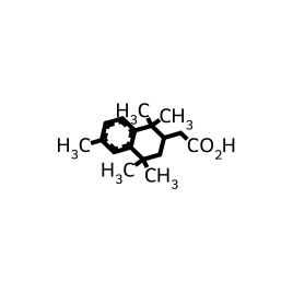 Cc1ccc2c(c1)C(C)(C)CC(CC(=O)O)C2(C)C